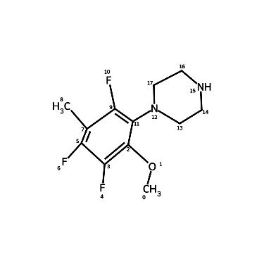 COc1c(F)c(F)c(C)c(F)c1N1CCNCC1